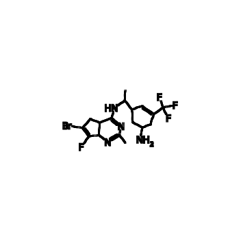 CC1=NC2C(F)=C(Br)CC2C(NC(C)C2C=C(C(F)(F)F)CC(N)C2)=N1